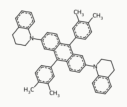 Cc1ccc(-c2c3ccc(N4CCCc5ccccc54)cc3c(-c3ccc(C)c(C)c3)c3ccc(N4CCCc5ccccc54)cc23)cc1C